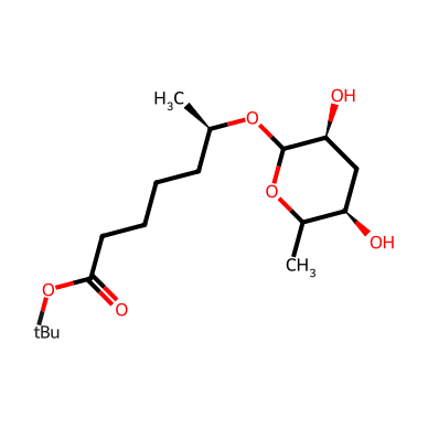 CC1OC(O[C@H](C)CCCCC(=O)OC(C)(C)C)[C@@H](O)C[C@H]1O